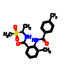 Cc1cccc(C(=O)NC(C)S(C)(=O)=O)c1NC(=O)c1ccc(C(F)(F)F)cc1